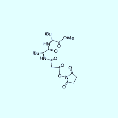 CC[C@H](C)[C@H](NC(=O)CC(=O)ON1C(=O)CCC1=O)C(=O)N[C@H](C(=O)OC)[C@@H](C)CC